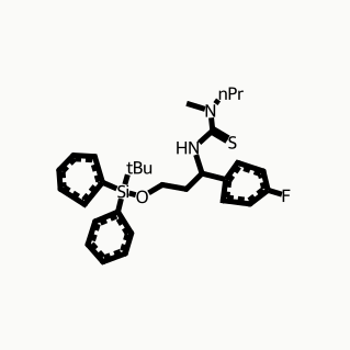 CCCN(C)C(=S)NC(CCO[Si](c1ccccc1)(c1ccccc1)C(C)(C)C)c1ccc(F)cc1